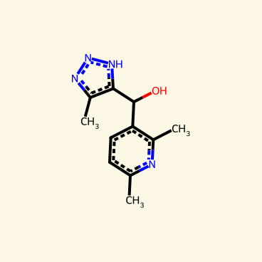 Cc1ccc(C(O)c2[nH]nnc2C)c(C)n1